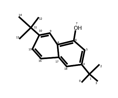 CC(C)(C)c1cc(O)c2cc(C(C)(C)C)c[c]c2c1